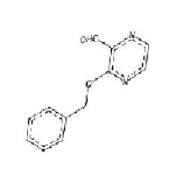 O=Cc1nccnc1OCc1ccccc1